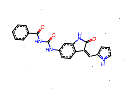 O=C(NC(=O)c1ccccc1)Nc1ccc2c(c1)NC(=O)C2=Cc1ccc[nH]1